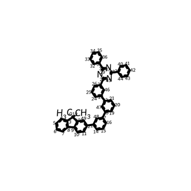 CC1(C)c2ccccc2-c2ccc(-c3cccc(-c4cccc(-c5cccc(-c6nc(-c7ccccc7)nc(-c7ccccc7)n6)c5)c4)c3)cc21